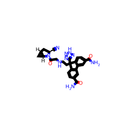 N#C[C@@H]1C[C@@H]2C[C@@H]2N1C(=O)CNCCC1(c2nn[nH]n2)c2ccc(C(N)=O)cc2-c2cc(C(N)=O)ccc21